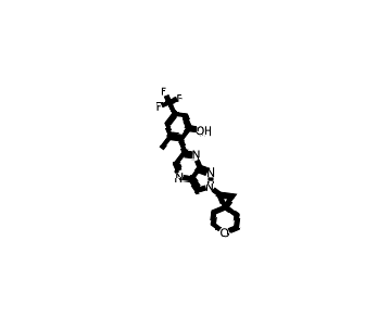 Cc1cc(C(F)(F)F)cc(O)c1-c1cnc2cn(C3CC34CCOCC4)nc2n1